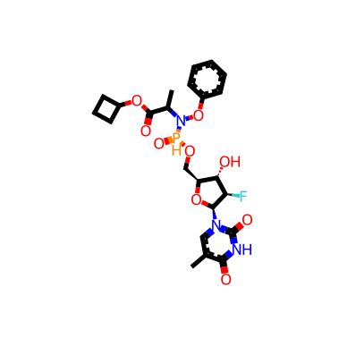 Cc1cn([C@H]2O[C@@H](CO[PH](=O)N(Oc3ccccc3)C(C)C(=O)OC3CCC3)[C@H](O)[C@H]2F)c(=O)[nH]c1=O